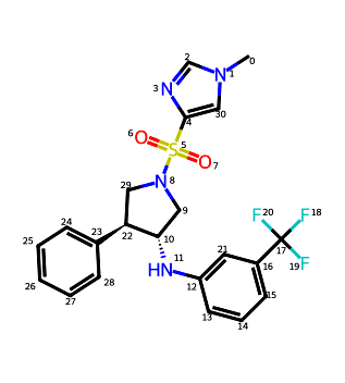 Cn1cnc(S(=O)(=O)N2C[C@H](Nc3cccc(C(F)(F)F)c3)[C@@H](c3ccccc3)C2)c1